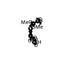 COc1cc(-c2cc(C(F)F)c(=O)n(C)c2)cc(OC)c1CN1CCC2(CC1)CN(c1ccc3c(c1)C(=O)N(C1CCC(=O)NC1=O)C3=O)C2